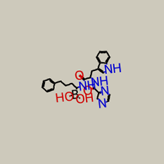 O=C(NC(Cc1c[nH]c2ccccc12)C(=O)NC(CCCc1ccccc1)B(O)O)c1cnccn1